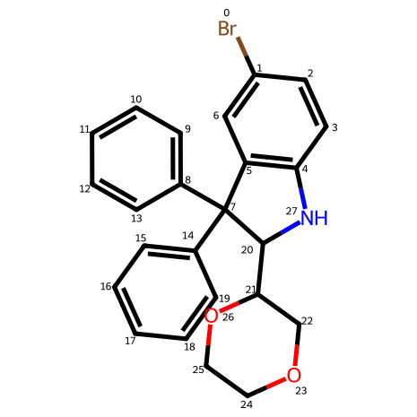 Brc1ccc2c(c1)C(c1ccccc1)(c1ccccc1)C(C1COCCO1)N2